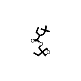 CCC(CC(C)(C)C)C(=O)OCC1(CC)COC1